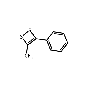 FC(F)(F)c1ssc1-c1ccccc1